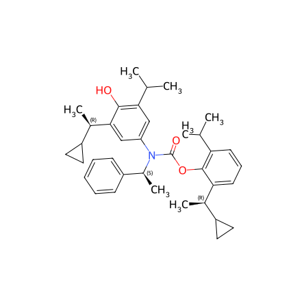 CC(C)c1cc(N(C(=O)Oc2c(C(C)C)cccc2[C@H](C)C2CC2)[C@@H](C)c2ccccc2)cc([C@H](C)C2CC2)c1O